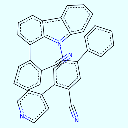 N#Cc1cc(-c2ccccc2)c(-n2c3ccccc3c3cccc(-c4ccccc4C#N)c32)cc1-c1ccncc1